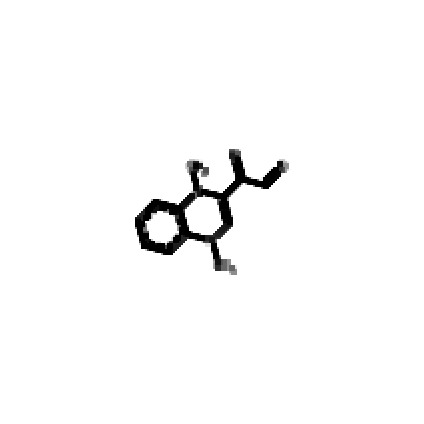 CN1C=C(C(=O)C=O)N(C)c2ccccc21